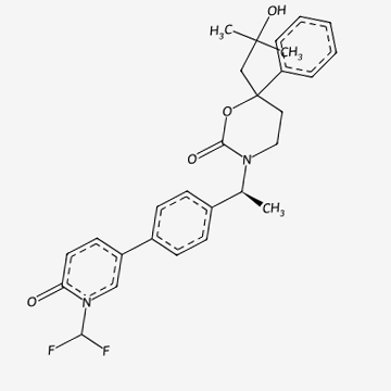 C[C@@H](c1ccc(-c2ccc(=O)n(C(F)F)c2)cc1)N1CCC(CC(C)(C)O)(c2ccccc2)OC1=O